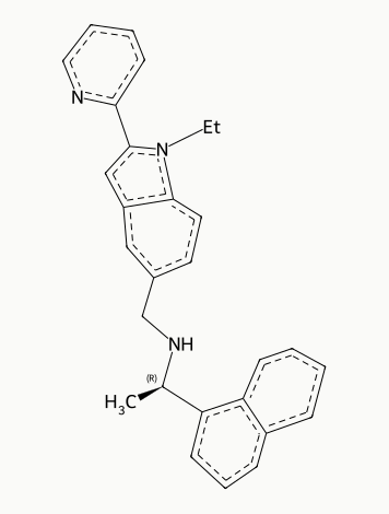 CCn1c(-c2ccccn2)cc2cc(CN[C@H](C)c3cccc4ccccc34)ccc21